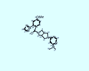 COc1ccc(C(=O)N2CC3CN(c4cc(N(C)C)ncn4)CC3C2)c(-n2nccn2)c1